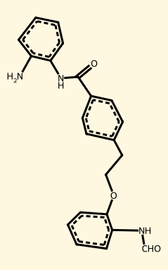 Nc1ccccc1NC(=O)c1ccc(CCOc2ccccc2NC=O)cc1